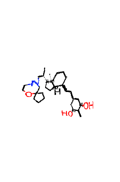 C=C1[C@H](O)CC(=CC=C2CCC[C@]3(C)[C@@H](C(C)CN4CCOC5(CCCC5)C4)CC[C@@H]23)C[C@H]1O